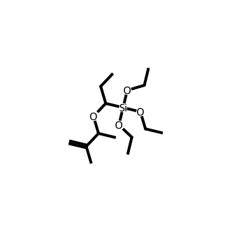 C=C(C)C(C)OC(CC)[Si](OCC)(OCC)OCC